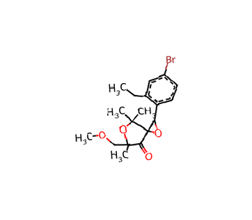 CCc1cc(Br)ccc1C1OC12C(=O)C(C)(COC)OC2(C)C